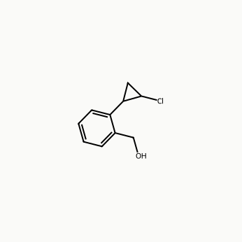 OCc1ccccc1C1CC1Cl